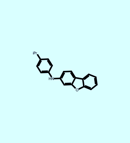 CC(C)c1ccc(Nc2ccc3c(c2)oc2ccccc23)cc1